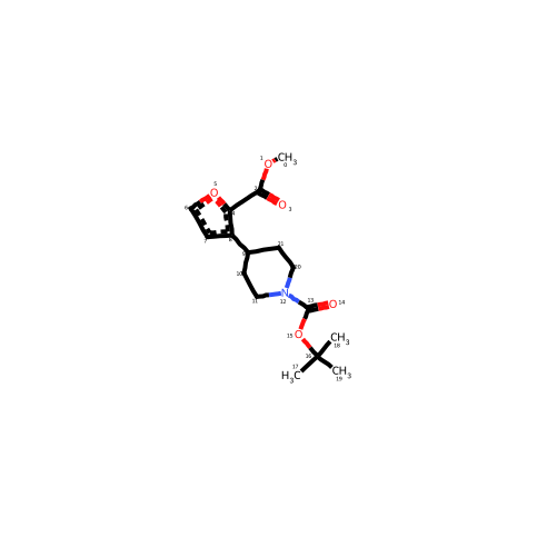 COC(=O)c1occc1C1CCN(C(=O)OC(C)(C)C)CC1